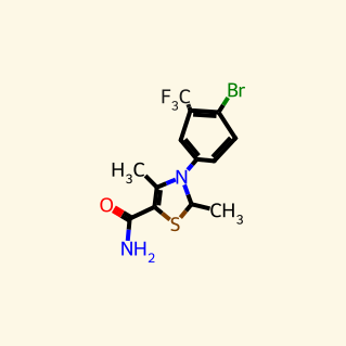 CC1=C(C(N)=O)SC(C)N1c1ccc(Br)c(C(F)(F)F)c1